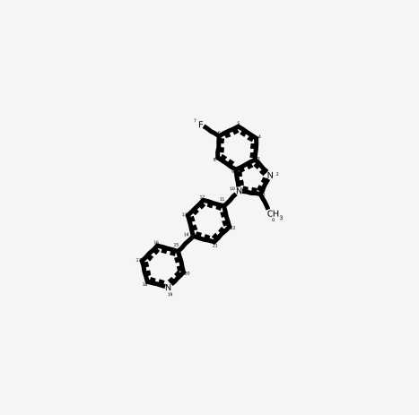 Cc1nc2ccc(F)cc2n1-c1ccc(-c2cccnc2)cc1